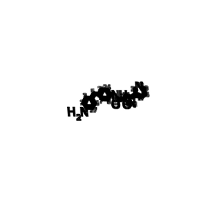 Nc1ccc(Cc2ccc(NC(=O)C3CC(c4cccnc4)=NO3)cc2)cc1